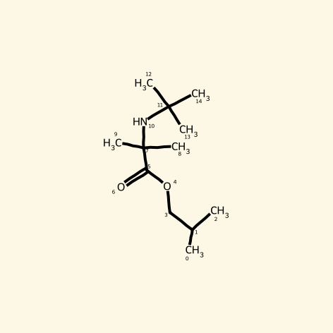 CC(C)COC(=O)C(C)(C)NC(C)(C)C